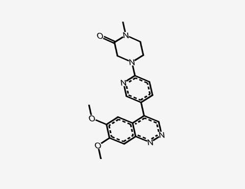 COc1cc2nncc(-c3ccc(N4CCN(C)C(=O)C4)nc3)c2cc1OC